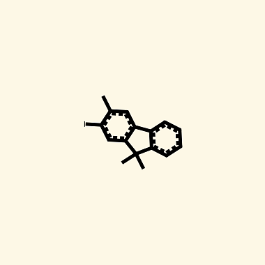 Cc1cc2c(cc1I)C(C)(C)c1ccccc1-2